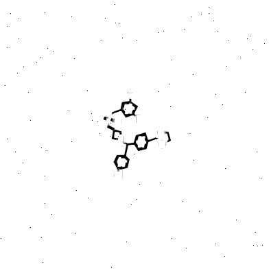 O=S(=O)(C=C1CN(C(c2ccc(Cl)cc2)c2ccc(C3OCCO3)cc2)C1)Cc1cc(F)cc(F)c1